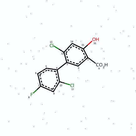 O=C(O)c1cc(-c2ccc(F)cc2Cl)c(Cl)cc1O